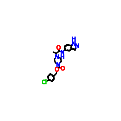 CC(C(=O)Nc1ccc2[nH]ncc2c1)N1CCN(C(=O)OCc2ccc(Cl)cc2)CC1